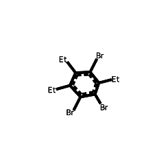 CCc1c(Br)c(Br)c(CC)c(CC)c1Br